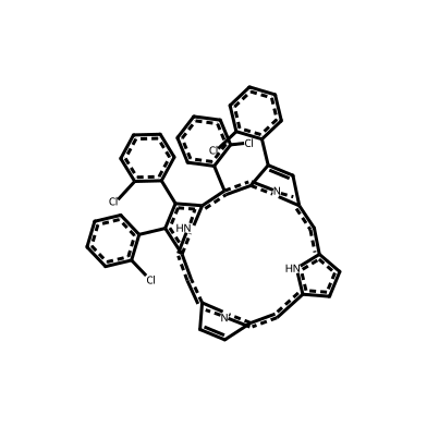 Clc1ccccc1C1=Cc2cc3ccc(cc4nc(cc5[nH]c(c(-c6ccccc6Cl)c1n2)c(-c1ccccc1Cl)c5-c1ccccc1Cl)C=C4)[nH]3